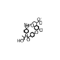 CC(CO)N(C(=O)c1ccc(Oc2cc3c(cc2Cl)C(C(=O)[O-])CCO3)cc1)c1ccc(Cl)cc1.[Na+]